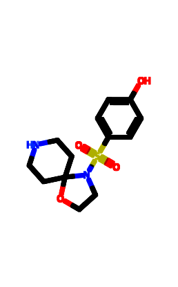 O=S(=O)(c1ccc(O)cc1)N1CCOC12CCNCC2